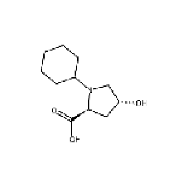 O=C(O)[C@@H]1C[C@@H](O)CN1C1CCCCC1